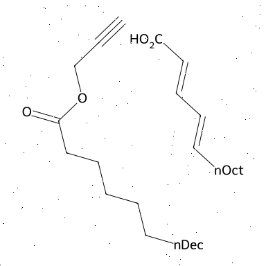 C#CCOC(=O)CCCCCCCCCCCCCCC.CCCCCCCCC=CC=CC(=O)O